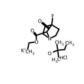 CCC(C)(C)[O-].CCOC(=O)C1C(=O)C2(F)CCN1CC2.Cl.[K+]